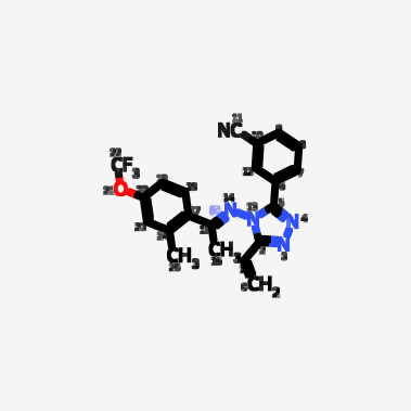 C=Cc1nnc(-c2cccc(C#N)c2)n1/N=C(\C)c1ccc(OC(F)(F)F)cc1C